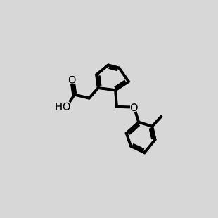 Cc1ccccc1OCc1ccccc1CC(=O)O